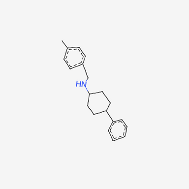 Cc1ccc(CNC2CCC(c3ccccc3)CC2)cc1